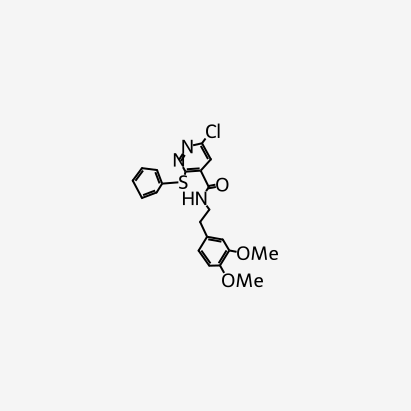 COc1ccc(CCNC(=O)c2cc(Cl)nnc2Sc2ccccc2)cc1OC